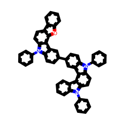 c1ccc(-n2c3ccc(-c4ccc5c(c4)c4c6c7ccccc7n(-c7ccccc7)c6ccc4n5-c4ccccc4)cc3c3c4oc5ccccc5c4ccc32)cc1